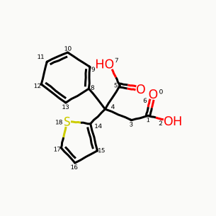 O=C(O)CC(C(=O)O)(c1ccccc1)c1cccs1